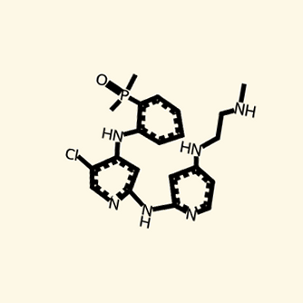 CNCCNc1ccnc(Nc2cc(Nc3ccccc3P(C)(C)=O)c(Cl)cn2)c1